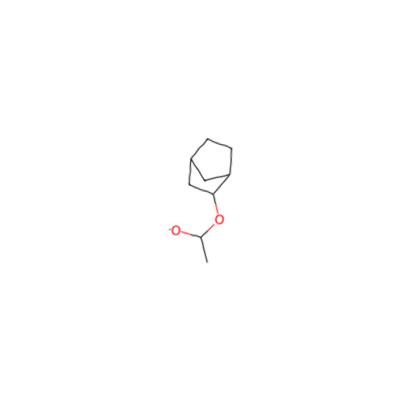 CC([O])OC1CC2CCC1C2